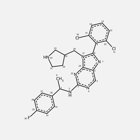 CC(Nc1ncc2nc(-c3c(Cl)cccc3Cl)n(CC3CCNC3)c2n1)c1ccc(F)cc1